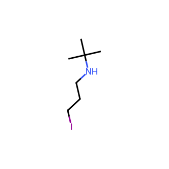 CC(C)(C)NCCCI